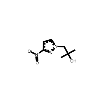 CC(C)(O)Cn1ccc([N+](=O)[O-])n1